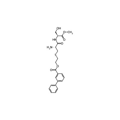 COC(=O)[C@H](CO)NC(=O)[C@@H](N)CSCCOC(=O)c1cccc(-c2ccccc2)c1